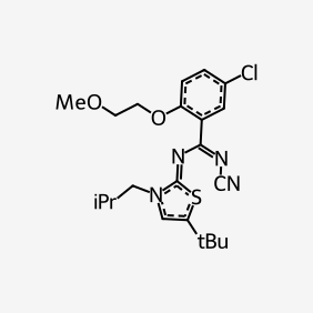 COCCOc1ccc(Cl)cc1C(=NC#N)N=c1sc(C(C)(C)C)cn1CC(C)C